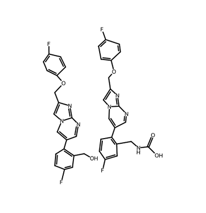 O=C(O)NCc1cc(F)ccc1-c1cnc2nc(COc3ccc(F)cc3)cn2c1.OCc1cc(F)ccc1-c1cnc2nc(COc3ccc(F)cc3)cn2c1